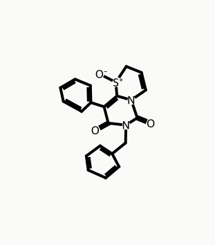 O=c1c(-c2ccccc2)c2n(c(=O)n1Cc1ccccc1)C=CC[S+]2[O-]